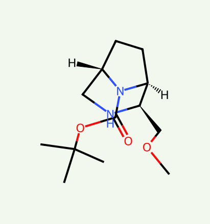 COC[C@H]1NC[C@@H]2CC[C@@H]1N2C(=O)OC(C)(C)C